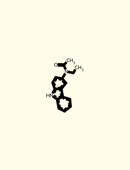 CCN(C(C)=O)c1ccc2[nH]c3ccccc3c2c1